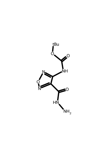 CC(C)(C)OC(=O)Nc1nonc1C(=O)NN